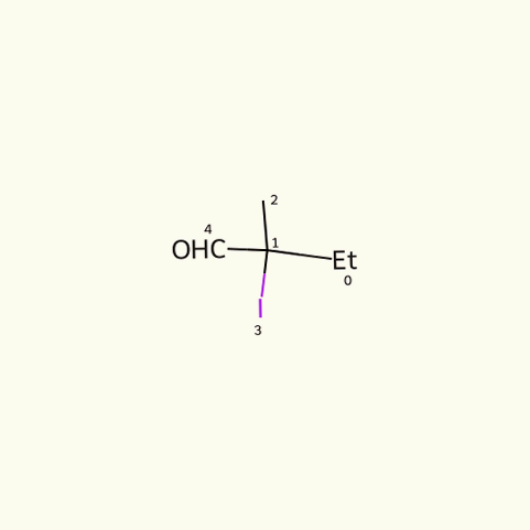 CCC(C)(I)C=O